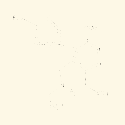 COc1ccc(CC(=O)O)c(CN(CC(=O)O)C(C)=O)c1-c1ccc(C(F)(F)F)cc1